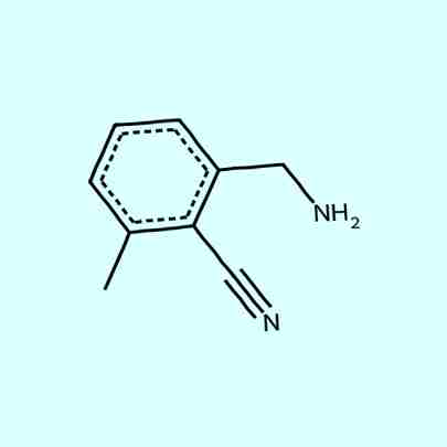 Cc1cccc(CN)c1C#N